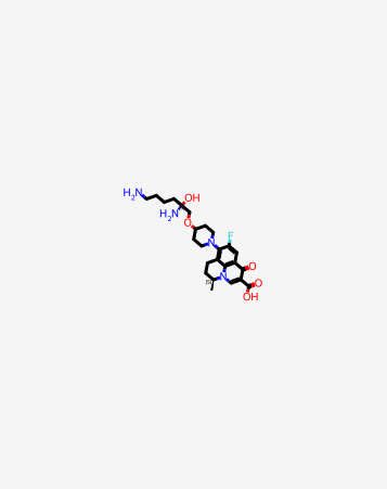 C[C@H]1CCc2c(N3CCC(OC[C@@](N)(O)CCCCN)CC3)c(F)cc3c(=O)c(C(=O)O)cn1c23